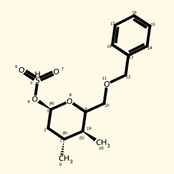 C[C@@H]1C[C@@H](O[SH](=O)=O)OC(COCc2ccccc2)[C@H]1C